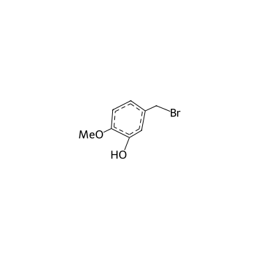 COc1ccc(CBr)cc1O